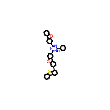 c1ccc(C2N=C(c3ccc4c(c3)oc3ccccc34)N=C(c3ccc4oc5cc(-c6cccc7c6sc6ccccc67)ccc5c4c3)N2)cc1